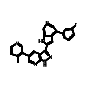 Cc1ccncc1-c1cnc2[nH]nc(-c3cc4c(-c5cccc(F)c5)cncc4[nH]3)c2c1